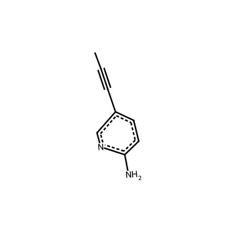 CC#Cc1ccc(N)nc1